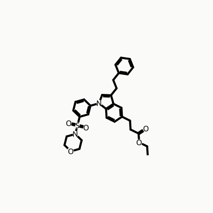 CCOC(=O)CCc1ccc2c(c1)c(CCc1ccccc1)cn2-c1cccc(S(=O)(=O)N2CCOCC2)c1